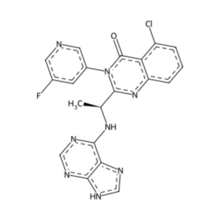 C[C@H](Nc1ncnc2[nH]cnc12)c1nc2cccc(Cl)c2c(=O)n1-c1cncc(F)c1